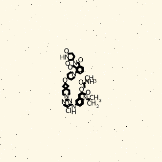 CNC(=O)COc1cc2cc(Nc3nc(N4CCC5(CC4)CC(OC4CCN(c6cccc7c6C(=O)N(C6CCC(=O)NC6=O)C7=O)CC4)C5)ncc3Cl)ccc2n(C(C)C)c1=O